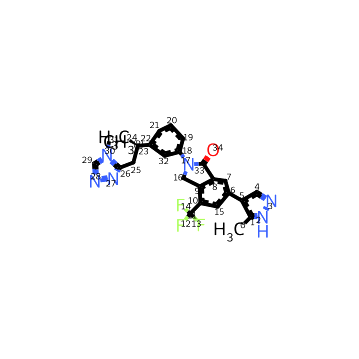 Cc1[nH]ncc1-c1cc2c(c(C(F)(F)F)c1)CN(c1cccc([C@H](C)Cc3nncn3C)c1)C2=O